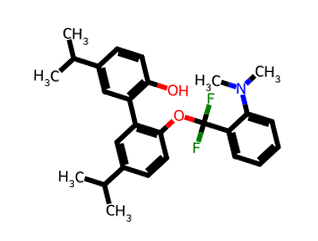 CC(C)c1ccc(O)c(-c2cc(C(C)C)ccc2OC(F)(F)c2ccccc2N(C)C)c1